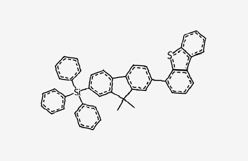 CC1(C)c2cc(-c3cccc4c3sc3ccccc34)ccc2-c2ccc([Si](c3ccccc3)(c3ccccc3)c3ccccc3)cc21